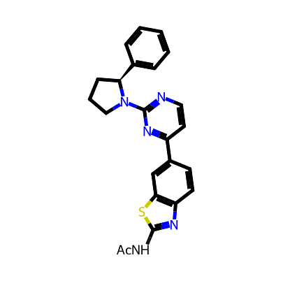 CC(=O)Nc1nc2ccc(-c3ccnc(N4CCC[C@H]4c4ccccc4)n3)cc2s1